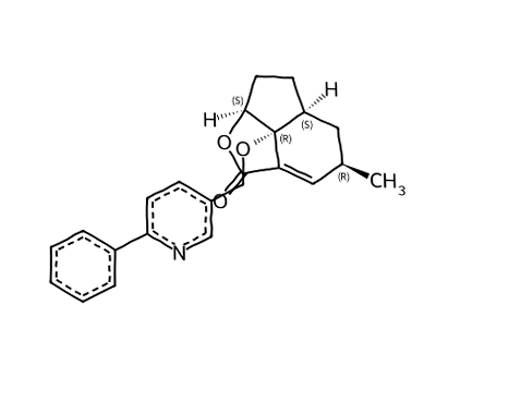 C[C@H]1C=C2C(=O)O[C@H]3CC[C@@H](C1)[C@@]23OCc1ccc(-c2ccccc2)nc1